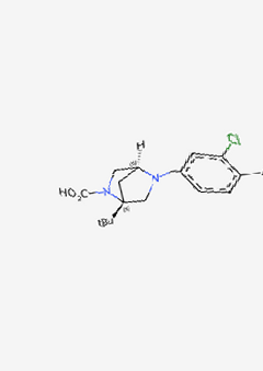 CC(=O)c1ccc(N2C[C@@]3(C(C)(C)C)C[C@H]2CN3C(=O)O)cc1Cl